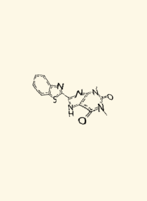 Cn1c(=O)c2[nH]c(-c3nc4ccccc4s3)nc2n(C)c1=O